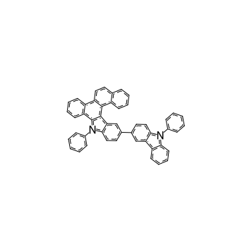 c1ccc(-n2c3ccccc3c3cc(-c4ccc5c(c4)c4c6c7ccccc7ccc6c6ccccc6c4n5-c4ccccc4)ccc32)cc1